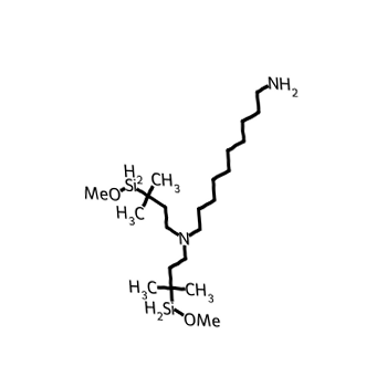 CO[SiH2]C(C)(C)CCN(CCCCCCCCCCN)CCC(C)(C)[SiH2]OC